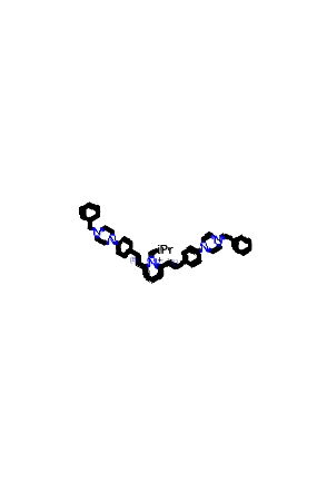 CC(C)C[n+]1c(/C=C/c2ccc(N3CCN(Cc4ccccc4)CC3)cc2)cccc1/C=C/c1ccc(N2CCN(Cc3ccccc3)CC2)cc1